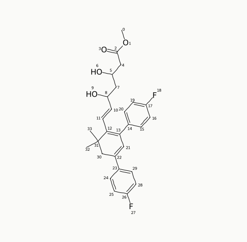 COC(=O)CC(O)CC(O)/C=C/C1=C(c2ccc(F)cc2)C=C(c2ccc(F)cc2)CC1(C)C